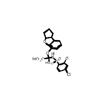 O=C(O)C(O)(NS(=O)(=O)c1ccc(Cl)cc1Cl)Oc1cccc2c1OC1CCCC21